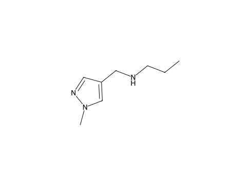 CCCNCc1cnn(C)c1